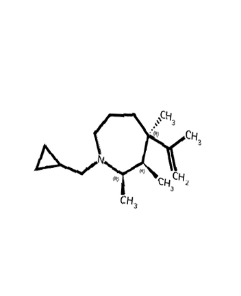 C=C(C)[C@]1(C)CCCN(CC2CC2)[C@H](C)[C@@H]1C